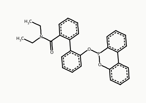 CCN(CC)C(=O)c1ccccc1-c1ccccc1OP1Oc2ccccc2-c2ccccc21